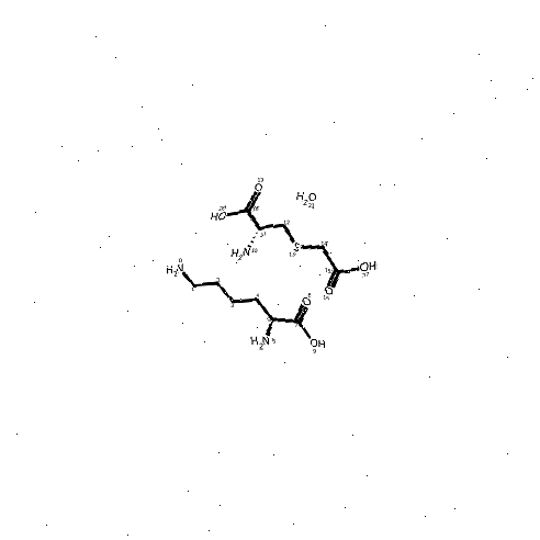 NCCCC[C@H](N)C(=O)O.N[C@@H](CSCC(=O)O)C(=O)O.O